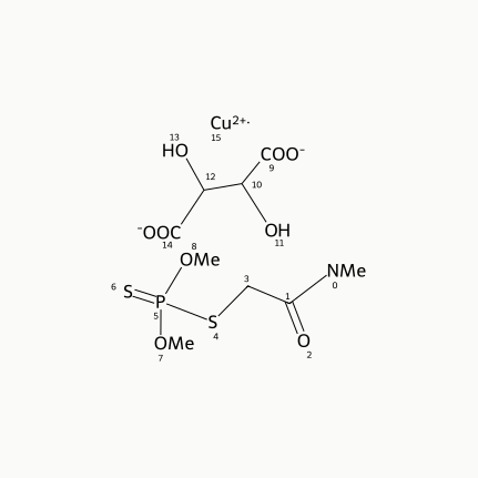 CNC(=O)CSP(=S)(OC)OC.O=C([O-])C(O)C(O)C(=O)[O-].[Cu+2]